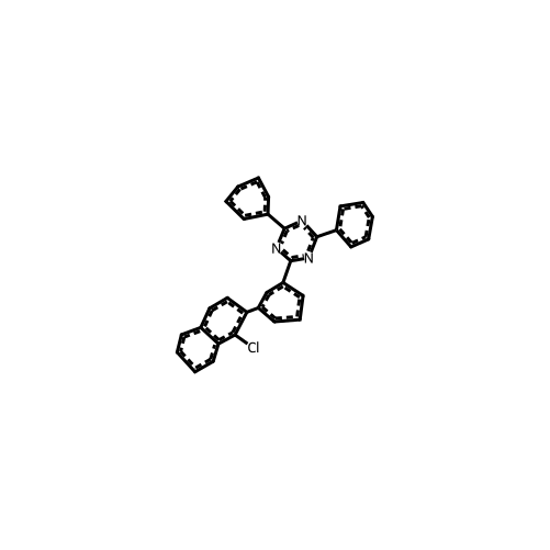 Clc1c(-c2cccc(-c3nc(-c4ccccc4)nc(-c4ccccc4)n3)c2)ccc2ccccc12